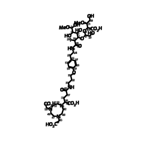 COC(O)C(O)C(O)C(OC(CO)OC(C(=O)O)C(CO)OC)C(I)C(=O)NCCc1ccc(OCCCNC(=O)CCC(C(=O)O)N2CCN(CC(=O)O)CCN(CC(=O)O)CC2)cc1